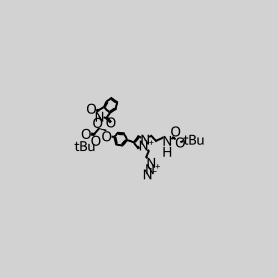 CC(C)(C)OC(=O)NCCCn1cc(-c2ccc(OC[C@H](ON3C(=O)c4ccccc4C3=O)C(=O)OC(C)(C)C)cc2)c[n+]1CCN=[N+]=[N-]